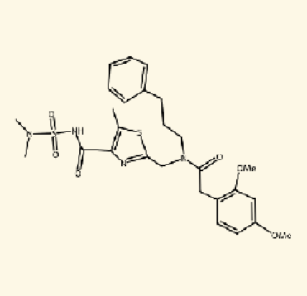 COc1ccc(CC(=O)N(CCCc2ccccc2)Cc2nc(C(=O)NS(=O)(=O)N(C)C)c(C)s2)c(OC)c1